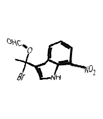 CC(Br)(OC=O)c1c[nH]c2c([N+](=O)[O-])cccc12